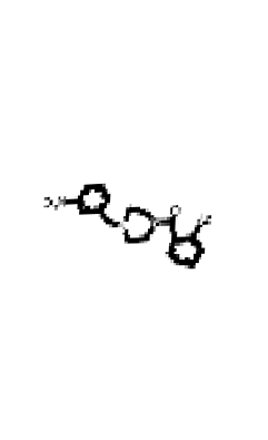 CC(=O)c1ccccc1C(=O)N1CCN(Cc2cccc([N+](=O)[O-])c2)CC1